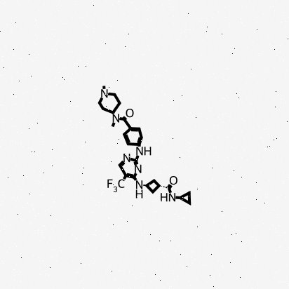 CN1CCC(N(C)C(=O)c2ccc(Nc3ncc(C(F)(F)F)c(N[C@H]4C[C@@H](C(=O)NC5CC5)C4)n3)cc2)CC1